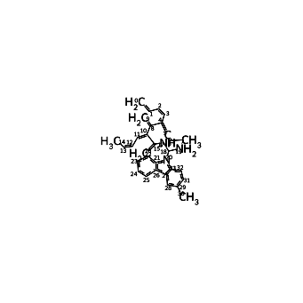 C=C/C=C\C(=C=CC)C(=C)/C(=C/C=C\C)C(=C)NC(N)n1c2ccccc2c2cc(C)ccc21